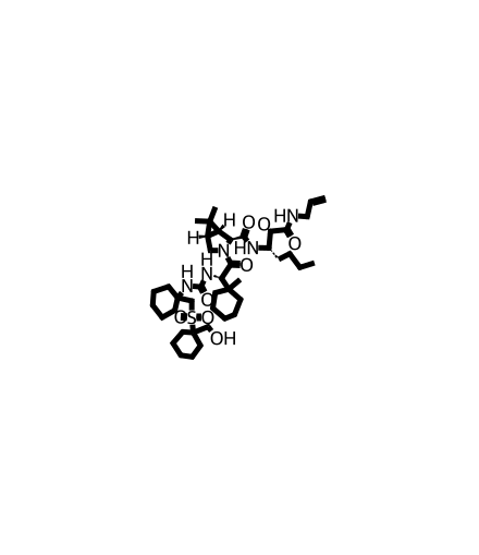 C=CCNC(=O)C(=O)[C@H](CCCC)NC(=O)[C@@H]1[C@@H]2[C@H](CN1C(=O)[C@@H](NC(=O)NC1(CS(=O)(=O)C3(CO)CCCCC3)CCCCC1)C1(C)CCCCC1)C2(C)C